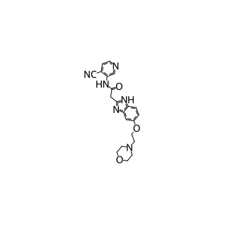 N#Cc1ccncc1NC(=O)Cc1nc2cc(OCCN3CCOCC3)ccc2[nH]1